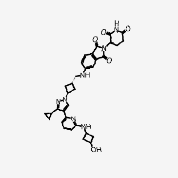 O=C1CCC(N2C(=O)c3ccc(NC[C@H]4C[C@H](n5cc(-c6cccc(NC7CC(O)C7)n6)c(C6CC6)n5)C4)cc3C2=O)C(=O)N1